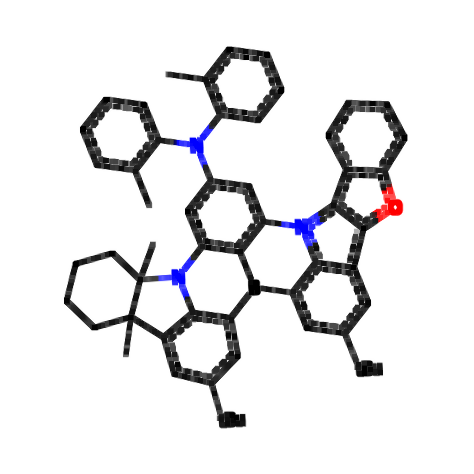 Cc1ccccc1N(c1cc2c3c(c1)-n1c4c(cc(C(C)(C)C)cc4c4oc5ccccc5c41)B3c1cc(C(C)(C)C)cc3c1N2C1(C)CCCCC31C)c1ccccc1C